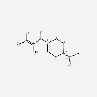 CC/C(C)=C(\N)C(C)N1CCC(N(C)C)CC1